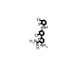 N=C(N)c1nc(-c2ccc(SNc3cccc(Cl)c3F)cc2Cl)ccc1N